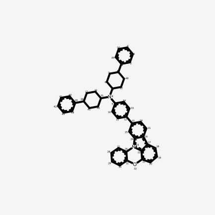 c1ccc(C2CCC(N(c3ccc(-c4ccc5c6cccc7c6n(c5c4)-c4ccccc4O7)cc3)C3CCC(c4ccccc4)CC3)CC2)cc1